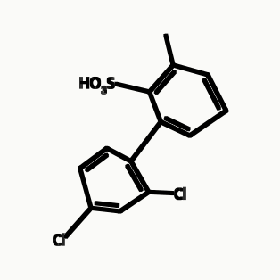 Cc1cccc(-c2ccc(Cl)cc2Cl)c1S(=O)(=O)O